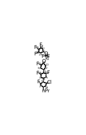 CCCc1cc(F)c(-c2cc(F)c(-c3ccc(OCC(F)(F)Oc4cc(F)c(F)c(F)c4)c(F)c3)c(F)c2)c(Cl)c1